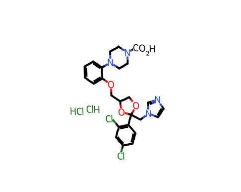 Cl.Cl.O=C(O)N1CCN(c2ccccc2OCC2COC(Cn3ccnc3)(c3ccc(Cl)cc3Cl)O2)CC1